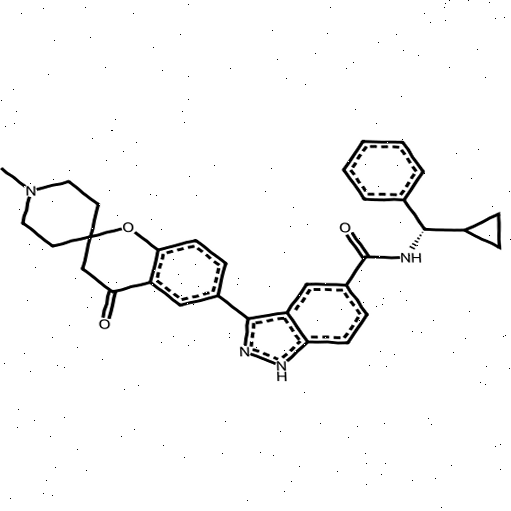 CN1CCC2(CC1)CC(=O)c1cc(-c3n[nH]c4ccc(C(=O)N[C@H](c5ccccc5)C5CC5)cc34)ccc1O2